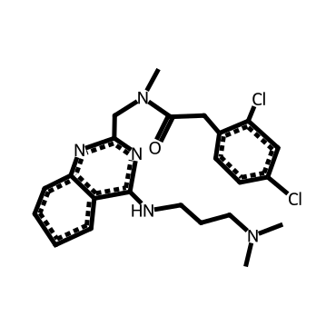 CN(C)CCCNc1nc(CN(C)C(=O)Cc2ccc(Cl)cc2Cl)nc2ccccc12